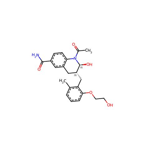 CC(=O)N1c2ccc(C(N)=O)cc2C[C@@H](Cc2c(C)cccc2OCCO)[C@@H]1O